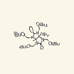 CCCC12N(COCC(C)C)C(=O)N(COCC(C)C)C1(C)N(COCC(C)C)C(=O)N2COCC(C)C